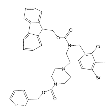 Cc1c(Br)ccc(CN(CCN2CCN(C(=O)OCc3ccccc3)CC2)C(=O)OCC2c3ccccc3-c3ccccc32)c1Cl